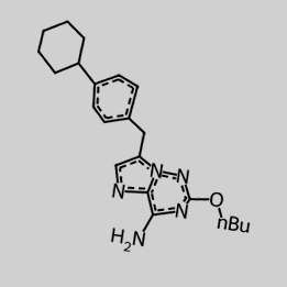 CCCCOc1nc(N)c2ncc(Cc3ccc(C4CCCCC4)cc3)n2n1